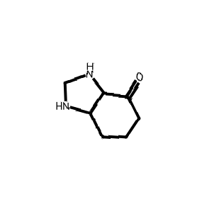 O=C1CCCC2NCNC12